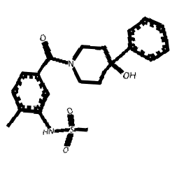 Cc1ccc(C(=O)N2CCC(O)(c3ccccc3)CC2)cc1NS(C)(=O)=O